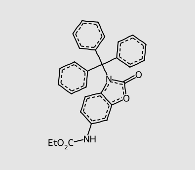 CCOC(=O)Nc1ccc2c(c1)oc(=O)n2C(c1ccccc1)(c1ccccc1)c1ccccc1